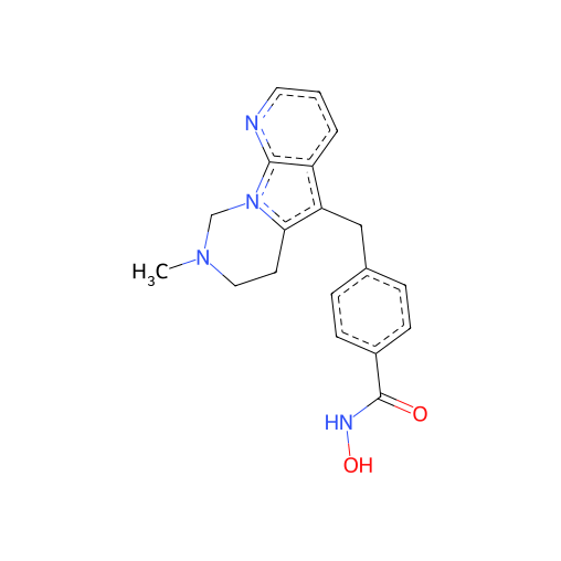 CN1CCc2c(Cc3ccc(C(=O)NO)cc3)c3cccnc3n2C1